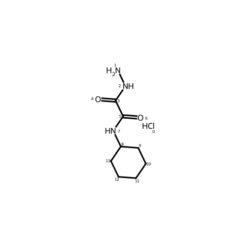 Cl.NNC(=O)C(=O)NC1CCCCC1